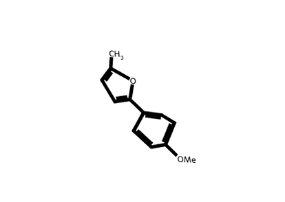 COc1ccc(-c2ccc(C)o2)cc1